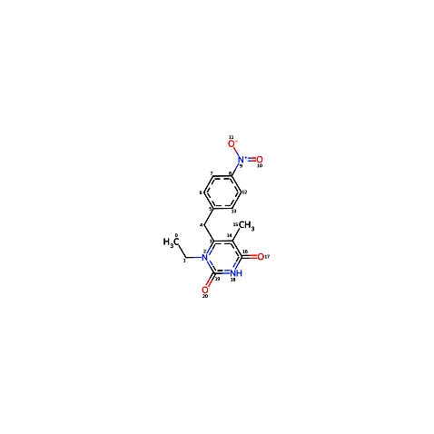 CCn1c(Cc2ccc([N+](=O)[O-])cc2)c(C)c(=O)[nH]c1=O